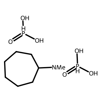 CNC1CCCCCC1.O=[PH](O)O.O=[PH](O)O